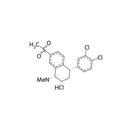 CN[C@H]1CC[C@@H](c2ccc(Cl)c(Cl)c2)c2ccc(S(C)(=O)=O)cc21.Cl